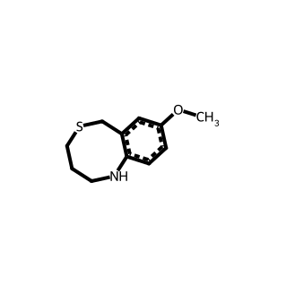 COc1ccc2c(c1)CSCCCN2